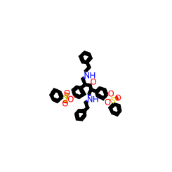 O=C(C(CNCCc1ccccc1)c1ccc(OS(=O)(=O)c2ccccc2)cc1)C(CNCCc1ccccc1)c1ccc(OS(=O)(=O)c2ccccc2)cc1